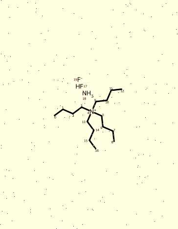 CCCC[N+](CCCC)(CCCC)CCCC.F.N.[F-]